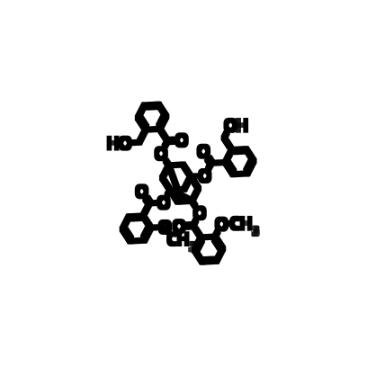 COc1ccccc1C(=O)OC12CC3(OC(=O)c4ccccc4CO)CC(OC(=O)c4ccccc4CO)(C1)CC(OC(=O)c1ccccc1OC)(C3)C2